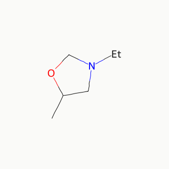 CCN1COC(C)C1